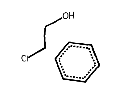 OCCCl.c1ccccc1